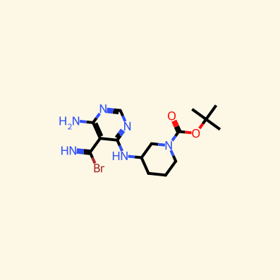 CC(C)(C)OC(=O)N1CCCC(Nc2ncnc(N)c2C(=N)Br)C1